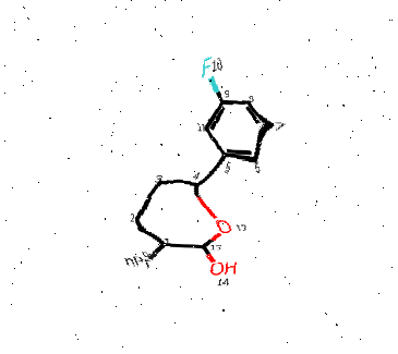 CCCC1CCC(c2cccc(F)c2)OC1O